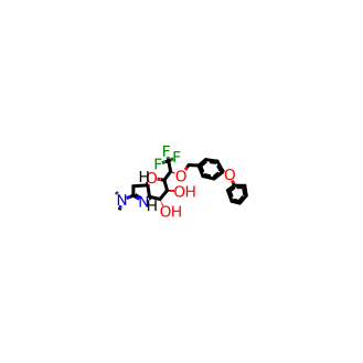 CN(C)C1=N[C@@H]2[C@@H](O)[C@H](O)C([C@@H](OCc3ccc(Oc4ccccc4)cc3)C(F)(F)F)O[C@@H]2C1